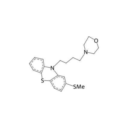 CSc1ccc2c(c1)N(CCCCN1CCOCC1)c1ccccc1S2